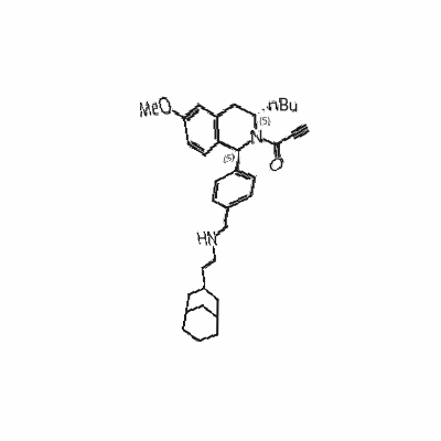 C#CC(=O)N1[C@@H](CCCC)Cc2cc(OC)ccc2[C@@H]1c1ccc(CNCCC2CC3CCCC(C3)C2)cc1